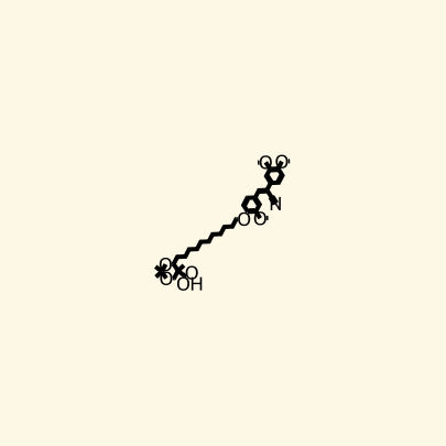 COc1ccc(C(C#N)=Cc2ccc(OCCCCCCCCCCCC3OC(C)(C)OCC3(C)C(=O)O)c(OC)c2)cc1OC